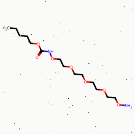 CCCCCOC(=O)NOCCOCCOCCOCCON